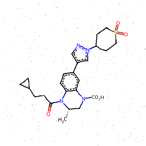 C[C@H]1CN(C(=O)O)c2cc(-c3cnn(C4CCS(=O)(=O)CC4)c3)ccc2N1C(=O)CCC1CC1